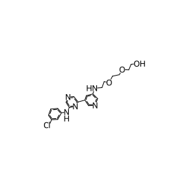 OCCOCCOCCNc1cncc(-c2cncc(Nc3cccc(Cl)c3)n2)c1